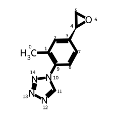 Cc1cc([C@H]2CO2)ccc1-n1cnnn1